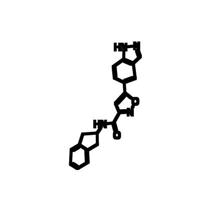 O=C(NC1Cc2ccccc2C1)c1cc(-c2ccc3[nH]ncc3c2)on1